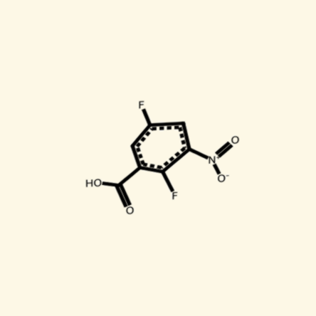 O=C(O)c1cc(F)cc([N+](=O)[O-])c1F